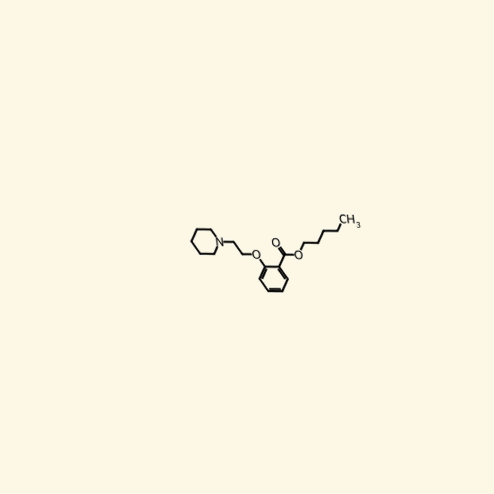 CCCCCOC(=O)c1ccccc1OCCN1CCCCC1